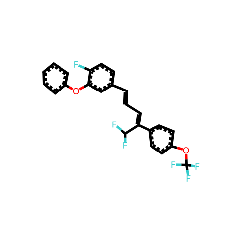 Fc1ccc(C=CC=C(c2ccc(OC(F)(F)F)cc2)C(F)F)cc1Oc1ccccc1